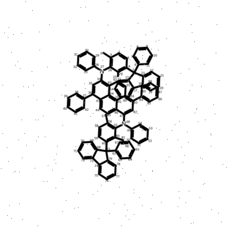 Cc1ccc(C2(c3ccccc3)c3ccccc3-c3ccccc32)c(C)c1N(c1ccccc1)c1cc(-c2ccccc2)c2ccc3c(N(c4ccccc4)c4c(C)ccc(C5(c6ccccc6)c6ccccc6-c6ccccc65)c4C)cc(-c4ccccc4)c4ccc1c2c43